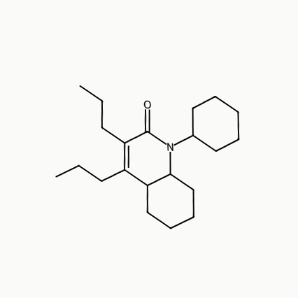 CCCC1=C(CCC)C2CCCCC2N(C2CCCCC2)C1=O